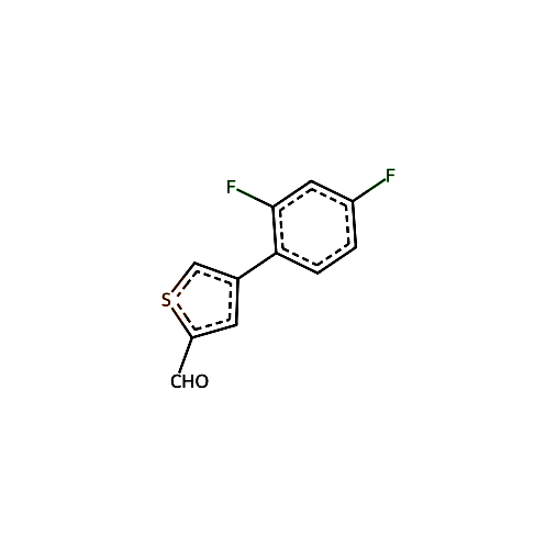 O=Cc1cc(-c2ccc(F)cc2F)cs1